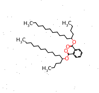 CCCCCCCCCCCC(CCCC)OC(=O)c1ccccc1C(=O)OC(CCCC)CCCCCCCCCCC